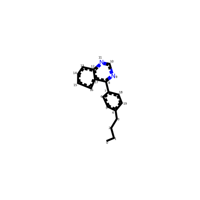 CCCCc1ccc(-c2ncnc3ccccc23)cc1